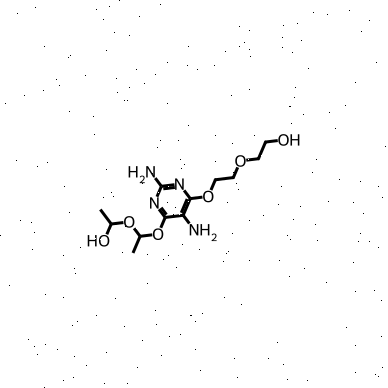 CC(O)OC(C)Oc1nc(N)nc(OCCOCCO)c1N